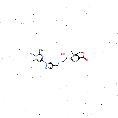 COc1nc(-n2cc(CNC[C@H](O)c3ccc4c(c3C)COC4=O)cn2)cc(C)c1C#N